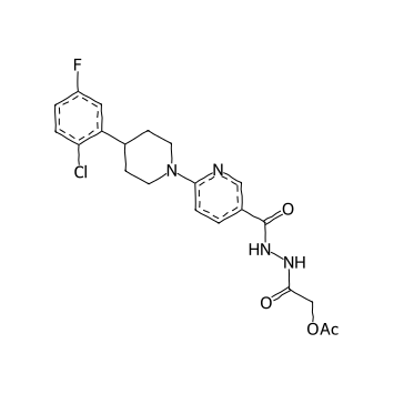 CC(=O)OCC(=O)NNC(=O)c1ccc(N2CCC(c3cc(F)ccc3Cl)CC2)nc1